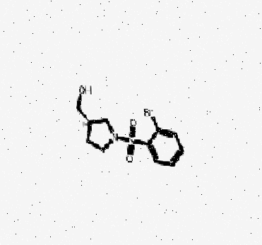 O=S(=O)(c1ccccc1Br)N1CC[C@@H](CO)C1